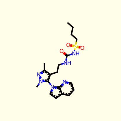 CCCCS(=O)(=O)NC(=O)NCCc1c(C)nn(C)c1-n1ccc2cccnc21